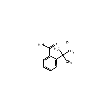 CC(C)(C)c1ccccc1C(N)=O.[K]